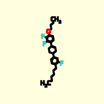 C=CCCCCc1ccc(C2CC=C(c3ccc(OCCCC)c(F)c3F)CC2)cc1F